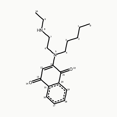 CCCCCN(CCNCC)C1=CC(=O)c2ccccc2C1=O